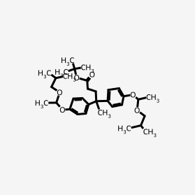 CC(C)COC(C)Oc1ccc(C(C)(CCC(=O)OC(C)(C)C)c2ccc(OC(C)OCC(C)C)cc2)cc1